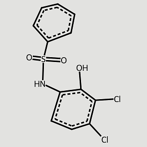 O=S(=O)(Nc1ccc(Cl)c(Cl)c1O)c1ccccc1